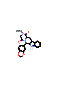 CCCCN1CC(=O)N2C(Cc3c([nH]c4ccccc34)C2c2ccc3c(c2)OCO3)C1=O